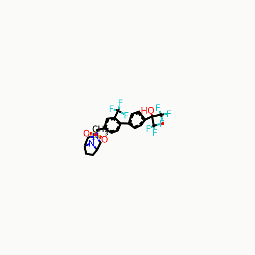 CS(=O)(=O)N1C2CCC1CN(Cc1ccc(-c3ccc(C(O)(C(F)(F)F)C(F)(F)F)cc3)c(C(F)(F)F)c1)C2